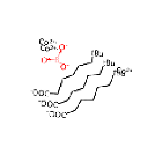 CC(C)(C)CCCCCC(=O)[O-].CC(C)(C)CCCCCC(=O)[O-].CC(C)(C)CCCCCC(=O)[O-].[Co+2].[Co+2].[Co+2].[O-]B([O-])[O-]